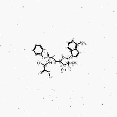 CC(C)OC(=O)[C@@H](C)N[P@](=O)(OC[C@H]1O[C@@H](n2ccc3c(N)ncnc32)[C@](C)(Cl)[C@@H]1O)Oc1ccccc1